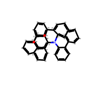 c1ccc(-c2ccccc2N(c2ccccc2)c2ccccc2-c2cccc(-c3cccc4ccccc34)c2)cc1